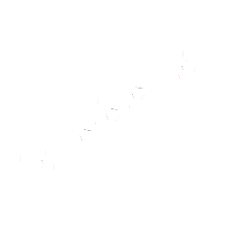 C=C(C)C(=O)OCCCOC1=CC=C(C(=O)Oc2ccc(OC(=O)c3ccc(OCCCOC(=O)C(=C)C)cc3)c(C)c2)CC1